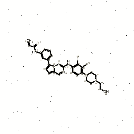 C=CC(=O)Nc1cccc(-c2ccc3cnc(Nc4ccc(N5CCN(CCO)CC5)c(F)c4F)nn23)c1